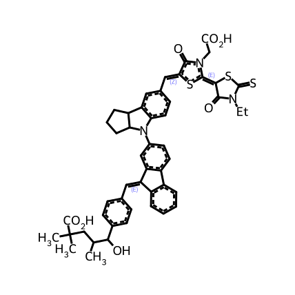 CCN1C(=O)/C(=c2\s/c(=C\c3ccc4c(c3)C3CCCC3N4c3ccc4c(c3)/C(=C/c3ccc(C(O)C(C)CC(C)(C)C(=O)O)cc3)c3ccccc3-4)c(=O)n2CC(=O)O)SC1=S